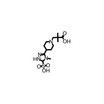 CN1C(C2CCN(CC(C)(C)C(=O)O)CC2)=NNC1S(=O)(=O)O